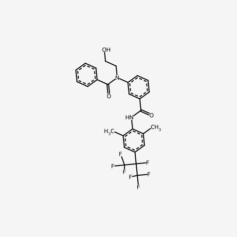 Cc1cc(C(F)(C(F)(F)F)C(F)(F)F)cc(C)c1NC(=O)c1cccc(N(CCO)C(=O)c2ccccc2)c1